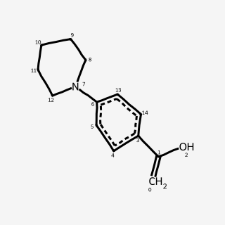 C=C(O)c1ccc(N2CCCCC2)cc1